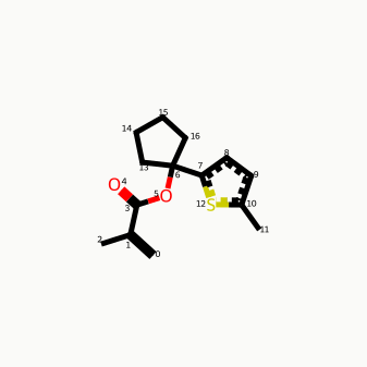 C=C(C)C(=O)OC1(c2ccc(C)s2)CCCC1